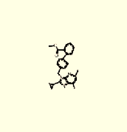 COC(=O)c1ccccc1-c1ccc(Cn2c(C3CC3)nc3c(C)cc(C)nc32)cc1